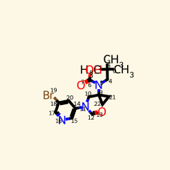 CC(C)(C)CN(C(=O)O)C1(CN(C=O)c2cncc(Br)c2)CC1